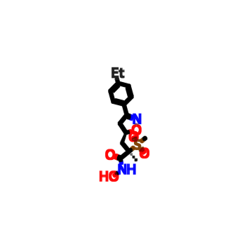 CCc1ccc(C2=NO[C@@H](C[C@](C)(C(=O)NO)S(C)(=O)=O)C2)cc1